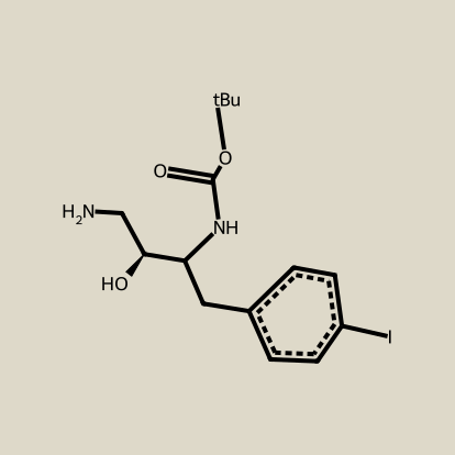 CC(C)(C)OC(=O)NC(Cc1ccc(I)cc1)[C@@H](O)CN